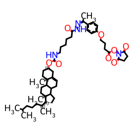 CC(=NNC(=O)CCCCCNC(=O)O[C@H]1CC[C@@]2(C)C(=CCC3C2CC[C@@]2(C)C3CC[C@@H]2[C@H](C)CCCC(C)C)C1)c1ccc(OCCCC(=O)ON2C(=O)CCC2=O)cc1